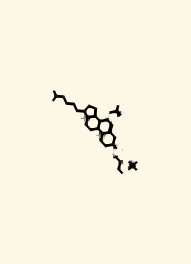 CCC(OC(C)(C)C)C(=O)OC1CC[C@@]2(C)C(=C[C@H](CC(C)=O)C3C4CCC(CCCCC(C)C)[C@@]4(C)CCC32)C1